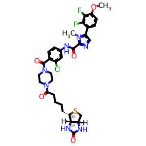 COc1ccc(-c2cnc(C(=O)Nc3ccc(C(=O)N4CCN(C(=O)CCCC[C@@H]5SC[C@@H]6NC(=O)N[C@@H]65)CC4)c(Cl)c3)n2C)c(F)c1F